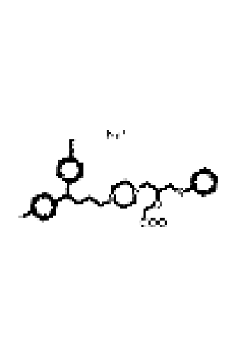 O=C([O-])COC(CSc1ccccc1)CN1CCN(CCCC(c2ccc(F)cc2)c2ccc(F)cc2)CC1.[Na+]